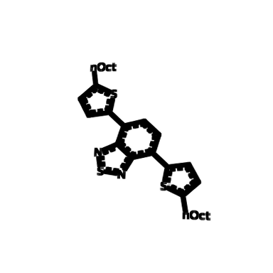 CCCCCCCCc1ccc(-c2ccc(-c3ccc(CCCCCCCC)s3)c3nsnc23)s1